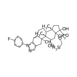 CC12Cc3cnn(-c4ccc(F)cc4)c3C=C1CCC1[C@]2(C)C(O)CC2(C)C(O)(C(=O)OC[SiH3])CC[C@@]12C